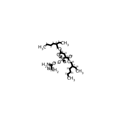 CCCCC(CC)COC(=O)CC(C(=O)OCC(CC)CCCC)S(=O)(=O)[O-].NC(N)=O.[Na+]